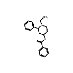 NCN1CCC(OC(=O)c2ccccc2)CC1c1ccccc1